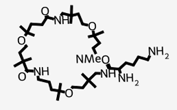 CNCCC(C)(C)OCCC(C)(C)CNC(=O)CCC(C)(C)OCCC(C)(C)C(=O)NCCCC(C)(C)OCCC(C)(C)CNC(=O)C(N)CCCCN